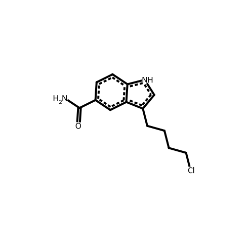 NC(=O)c1ccc2[nH]cc(CCCCCl)c2c1